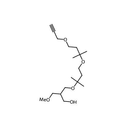 C#CCOCCC(C)(C)OCCC(C)(C)OCC(CO)COC